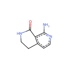 Nc1nccc2c1C(=O)NCC2